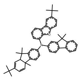 CC(C)(C)C1=CC2C(C)(C)c3cc(N(c4ccc5c(c4)C(C)(C)c4ccccc4-5)c4cccc5c4oc4ccc(C(C)(C)C)cc45)ccc3C2(C)C=C1